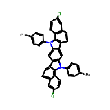 CC(C)(C)c1ccc(-n2c3cc4c5ccc6cc(Cl)ccc6c5n(-c5ccc(C(C)(C)C)cc5)c4cc3c3ccc4cc(Cl)ccc4c32)cc1